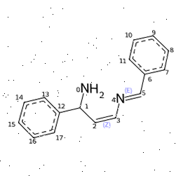 NC(/C=C\N=C\c1ccccc1)c1ccccc1